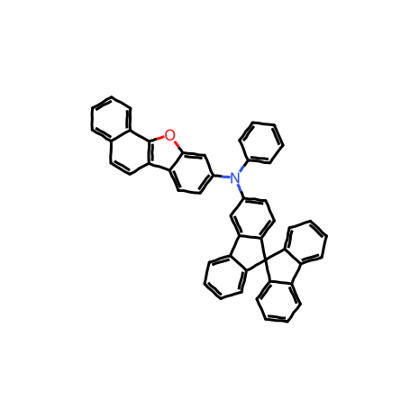 c1ccc(N(c2ccc3c(c2)-c2ccccc2C32c3ccccc3-c3ccccc32)c2ccc3c(c2)oc2c4ccccc4ccc32)cc1